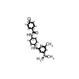 Cc1cc(N(C)C)cc(NC2CCC(NC(=O)c3ccc(Cl)cc3)CC2)n1